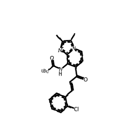 Cc1nc2c(NC(=O)C(C)(C)C)c(C(=O)/C=C/c3ccccc3Cl)ccn2c1C